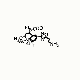 CCN(C(=O)[O-])[C@@H]1C[C@H](C)[N+](C)(C(C)=O)c2ccc(-c3noc(CCN)n3)cc21